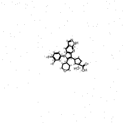 O=C(O)[C@]1(O)CCC(c2c(C3CCOCC3)n(-c3ccc(F)c(F)c3)c3cc4cn[nH]c4nc23)C1